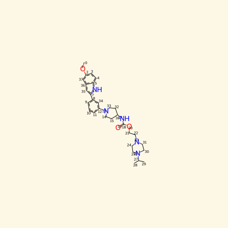 COc1ccc2[nH]c(-c3cccc(N4CCC(NC(=O)OCCN5CCN(C(C)C)CC5)CC4)c3)cc2c1